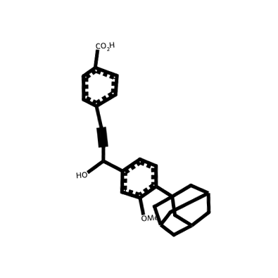 COc1cc(C(O)C#Cc2ccc(C(=O)O)cc2)ccc1C12CC3CC(CC(C3)C1)C2